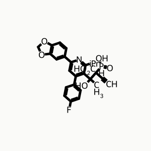 C#CC(C(=O)O)([PH](=O)O)C(C)(O)c1c(-c2ccc(F)cc2)cc(-c2ccc3c(c2)OCO3)nc1C(C)C